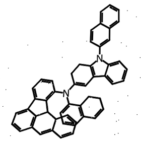 C1=CC2=Cc3cccc4c3C(c3c-4cccc3N(C3=Cc4c(n(-c5ccc6ccccc6c5)c5ccccc45)CC3)c3cccc4c3CCC=C4)C2C=C1